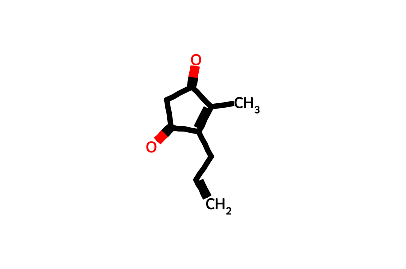 C=CCC1=C(C)C(=O)CC1=O